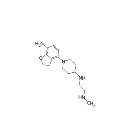 CNCCNC1CCN(c2ccc(N)c3c2CCO3)CC1